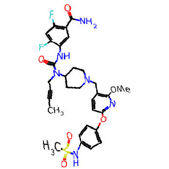 CC#CCN(C(=O)Nc1cc(C(N)=O)c(F)cc1F)C1CCN(Cc2ccc(Oc3ccc(NS(C)(=O)=O)cc3)nc2OC)CC1